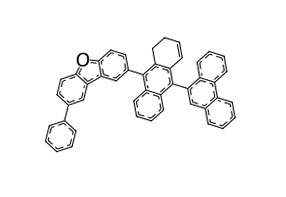 C1=Cc2c(c(-c3ccc4oc5ccc(-c6ccccc6)cc5c4c3)c3ccccc3c2-c2cc3ccccc3c3ccccc23)CC1